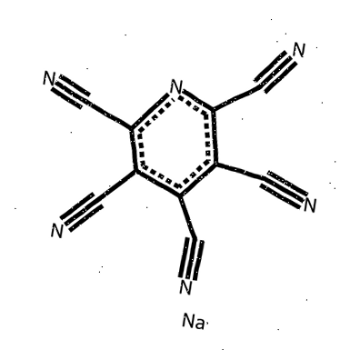 N#Cc1nc(C#N)c(C#N)c(C#N)c1C#N.[Na]